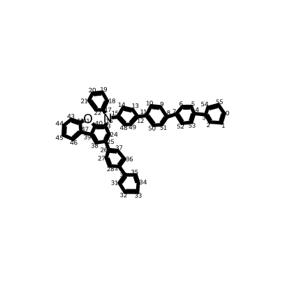 c1ccc(-c2ccc(-c3ccc(-c4ccc(N(c5ccccc5)c5cc(-c6ccc(-c7ccccc7)cc6)cc6c5oc5ccccc56)cc4)cc3)cc2)cc1